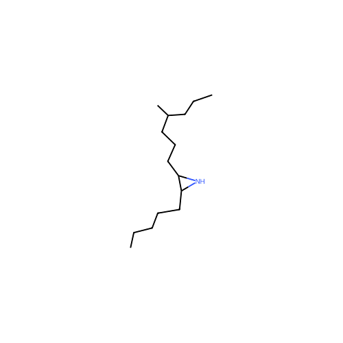 CCCCCC1NC1CCCC(C)CCC